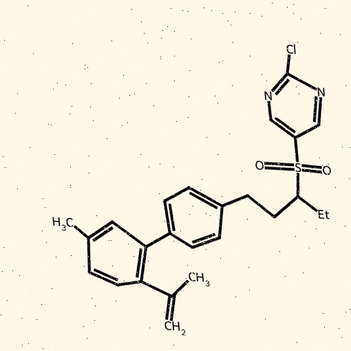 C=C(C)c1ccc(C)cc1-c1ccc(CCC(CC)S(=O)(=O)c2cnc(Cl)nc2)cc1